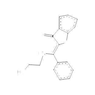 O=C1C(=C(NCCO)c2ccccc2)Sc2ccccc21